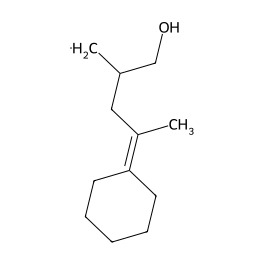 [CH2]C(CO)CC(C)=C1CCCCC1